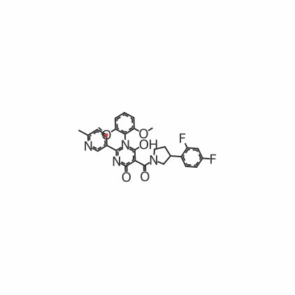 COc1cccc(OC)c1-n1c(-c2ccc(C)nc2)nc(=O)c(C(=O)N2CCC(c3ccc(F)cc3F)C2)c1O